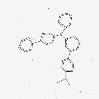 CC(C)c1ccc(-c2cccc(N(c3ccccc3)c3ccc(-c4ccccc4)cc3)c2)cc1